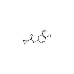 O=C(Oc1ccc(Cl)c(O)c1)C1CC1